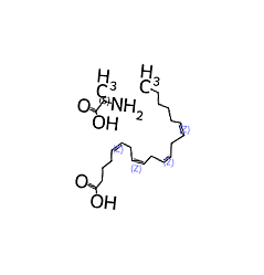 CCCCC/C=C\C/C=C\C/C=C\C/C=C\CCCC(=O)O.C[C@H](N)C(=O)O